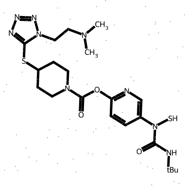 CN(C)CCn1nnnc1SC1CCN(C(=O)Oc2ccc(N(S)C(=O)NC(C)(C)C)cn2)CC1